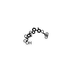 Cc1cc(OCCCS(C)(=O)=O)ccc1-c1cccc2c1CCC2Oc1cc2c(cn1)[C@@H](CC(=O)O)CO2